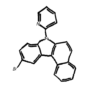 Brc1ccc2c(c1)c1c3ccccc3ccc1n2-c1ccccn1